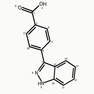 O=C(O)c1ccc(-c2n[nH]c3ccccc23)cc1